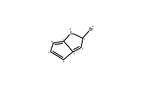 Br[C]1C=C2C=CC=C2S1